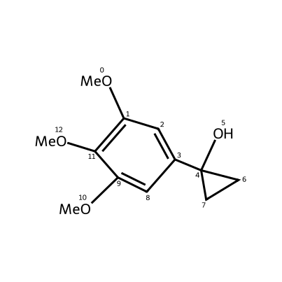 COc1cc(C2(O)CC2)cc(OC)c1OC